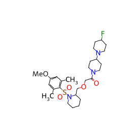 COc1cc(C)c(S(=O)(=O)N2CCCCC2COCC(=O)N2CCC(N3CCC(F)CC3)CC2)c(C)c1